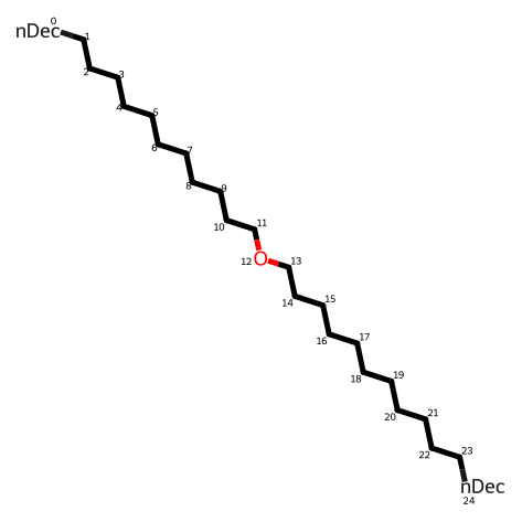 CCCCCCCCCCCCCCCCCCCCCOCCCCCCCCCCCCCCCCCCCCC